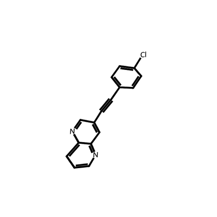 Clc1ccc(C#Cc2cnc3cccnc3c2)cc1